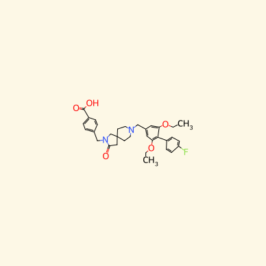 CCOc1cc(CN2CCC3(CC2)CC(=O)N(Cc2ccc(C(=O)O)cc2)C3)cc(OCC)c1-c1ccc(F)cc1